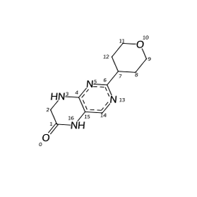 O=C1CNc2nc(C3CCOCC3)ncc2N1